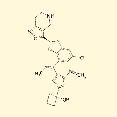 C=Nc1cc(C2(O)CCC2)sc1/C(=C\C)c1cc(Cl)cc2c1O[C@@H](c1onc3c1CNCC3)C2